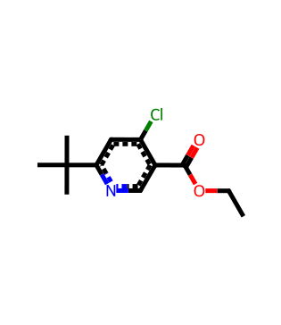 CCOC(=O)c1cnc(C(C)(C)C)cc1Cl